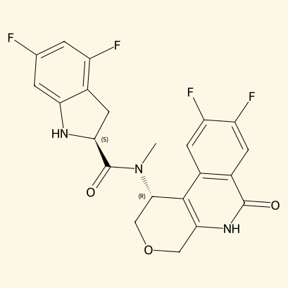 CN(C(=O)[C@@H]1Cc2c(F)cc(F)cc2N1)[C@H]1COCc2[nH]c(=O)c3cc(F)c(F)cc3c21